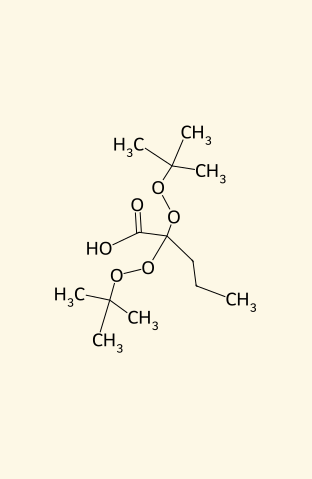 CCCC(OOC(C)(C)C)(OOC(C)(C)C)C(=O)O